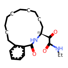 CCNC(=O)C(=O)[C@@H]1CCCCCCCCCCc2ccccc2C(=O)N1